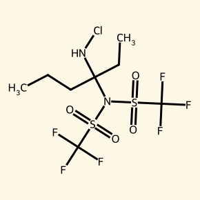 CCCC(CC)(NCl)N(S(=O)(=O)C(F)(F)F)S(=O)(=O)C(F)(F)F